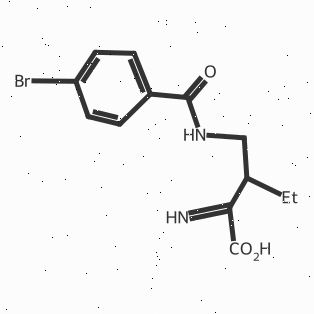 CCC(CNC(=O)c1ccc(Br)cc1)C(=N)C(=O)O